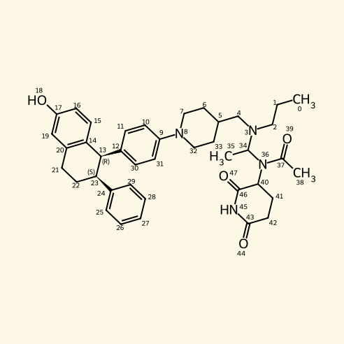 CCCN(CC1CCN(c2ccc([C@@H]3c4ccc(O)cc4CC[C@@H]3c3ccccc3)cc2)CC1)C(C)N(C(C)=O)C1CCC(=O)NC1=O